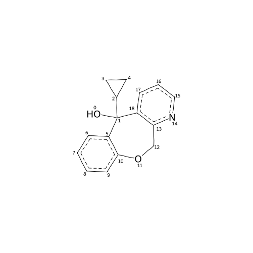 OC1(C2CC2)c2ccccc2OCc2ncccc21